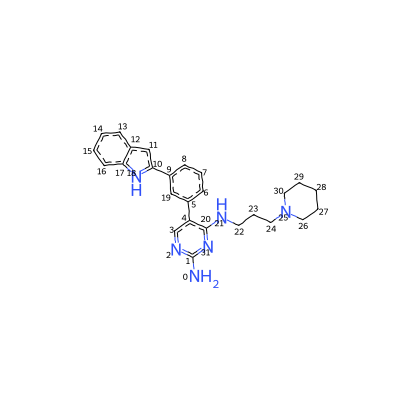 Nc1ncc(-c2cccc(-c3cc4ccccc4[nH]3)c2)c(NCCCN2CCCCC2)n1